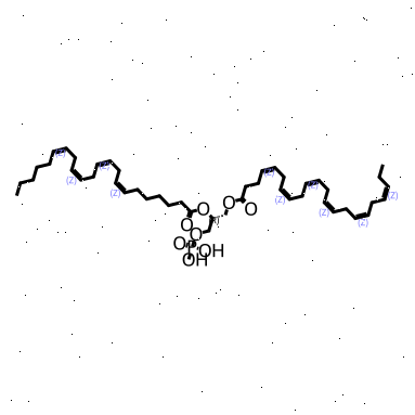 CC/C=C\C/C=C\C/C=C\C/C=C\C/C=C\C/C=C\CCC(=O)OC[C@H](COP(=O)(O)O)OC(=O)CCCCC/C=C\C/C=C\C/C=C\C/C=C\CCCCC